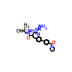 CC(CN(N)C(=O)C1=Cc2ccc(-c3ccc(C(=O)N4CCCC4)cc3)cc2N=C(N=NN)C1)N=O